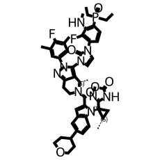 CCP(=O)(CC)c1ccc(-n2ccn(-c3c4c(nn3-c3cc(C)c(F)c(C)c3)CCN(C(=O)c3cc5cc(C6CCOCC6)ccc5n3[C@@]3(c5noc(=O)[nH]5)C[C@@H]3C)[C@H]4C)c2=O)c(F)c1NC